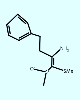 CSC(=C(N)CCc1ccccc1)[S+](C)[O-]